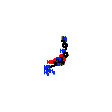 NC(N)NCCC[C@H](NC(=O)c1sccc1NS(=O)(=O)c1cccc(NCc2ccc(-c3csnn3)cc2)c1)C(=O)O